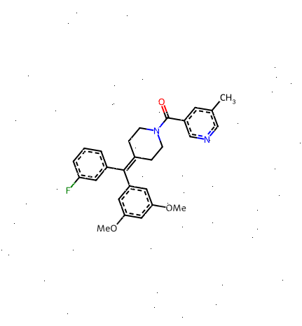 COc1cc(OC)cc(C(=C2CCN(C(=O)c3cncc(C)c3)CC2)c2cccc(F)c2)c1